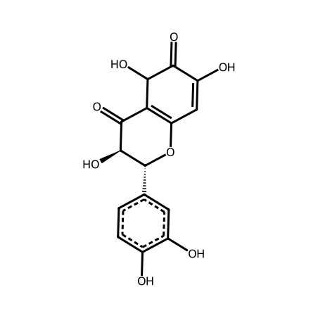 O=C1C(O)=CC2=C(C(=O)[C@H](O)[C@@H](c3ccc(O)c(O)c3)O2)C1O